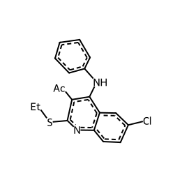 CCSc1nc2ccc(Cl)cc2c(Nc2ccccc2)c1C(C)=O